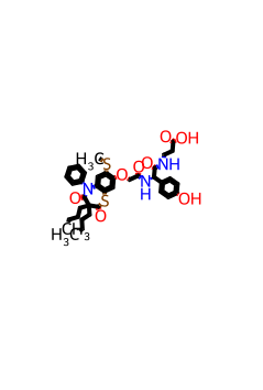 CCCCC1(CCCC)C(=O)Sc2cc(OCC(=O)N[C@@H](C(=O)NCCC(=O)O)c3ccc(O)cc3)c(SC)cc2N(c2ccccc2)C1=O